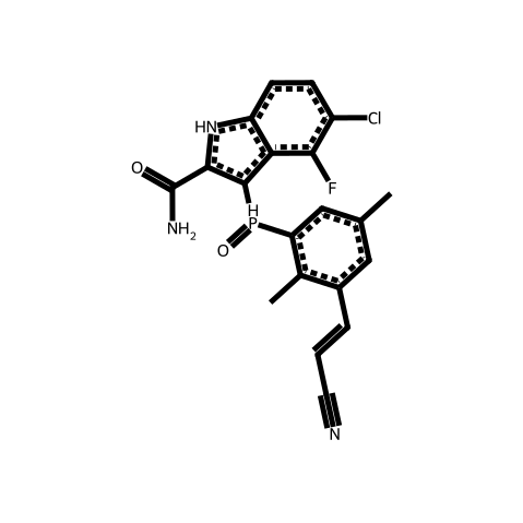 Cc1cc(C=CC#N)c(C)c([PH](=O)c2c(C(N)=O)[nH]c3ccc(Cl)c(F)c23)c1